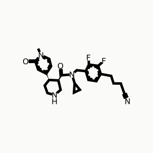 Cn1ccc([C@H]2CCNC[C@@H]2C(=O)N(Cc2ccc(CCCC#N)c(F)c2F)C2CC2)cc1=O